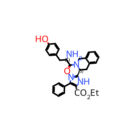 CCOC(=O)c1[nH]c([C@@H]2Cc3ccccc3CN2C(=O)[C@@H](N)Cc2ccc(O)cc2)nc1-c1ccccc1